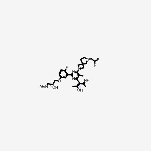 CNC[C@@H](O)COc1ccc(F)c(-c2nc(/C(C(C)=N)=C(\C)O)c(C)c(N3CC4(CCN(CC(F)F)C4)C3)n2)c1